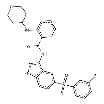 O=C(Nc1n[nH]c2ccc(S(=O)(=O)c3cccc(F)c3)cc12)c1ccccc1NC1CCOCC1